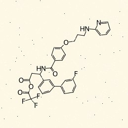 O=C(CC(NC(=O)c1ccc(OCCCNc2ccccn2)cc1)c1cccc(-c2cccc(F)c2)c1)OC(=O)C(F)(F)F